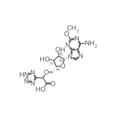 COc1nc(N)c2ncn([C@@H]3O[C@H](COC(C(=O)O)c4nn[nH]n4)[C@@H](O)[C@H]3O)c2n1